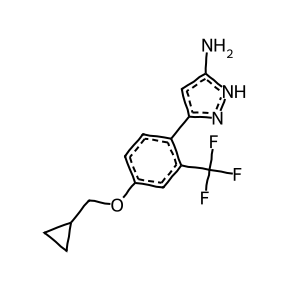 Nc1cc(-c2ccc(OCC3CC3)cc2C(F)(F)F)n[nH]1